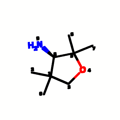 CC1(C)COC(C)(C)[C@@H]1N